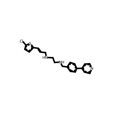 Clc1ccc(C=CCNCCNCc2ccc(-c3ccncc3)cc2)s1